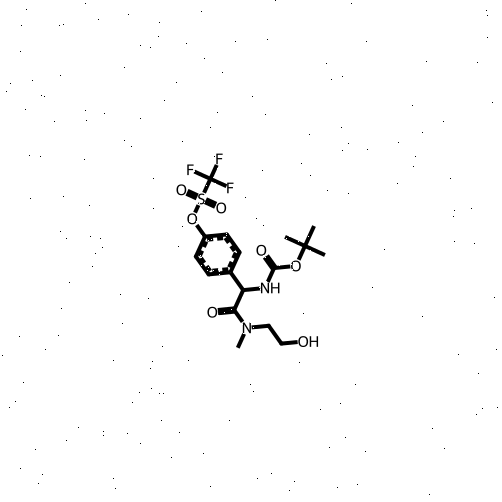 CN(CCO)C(=O)C(NC(=O)OC(C)(C)C)c1ccc(OS(=O)(=O)C(F)(F)F)cc1